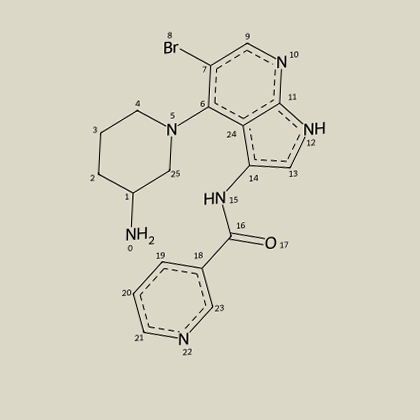 NC1CCCN(c2c(Br)cnc3[nH]cc(NC(=O)c4cccnc4)c23)C1